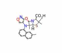 Cc1ccc2cccc(N(c3cnoc3)C3(C)C(=O)N4[C@@H](C(=O)O)C(C)(C)S[C@@H]43)c2c1